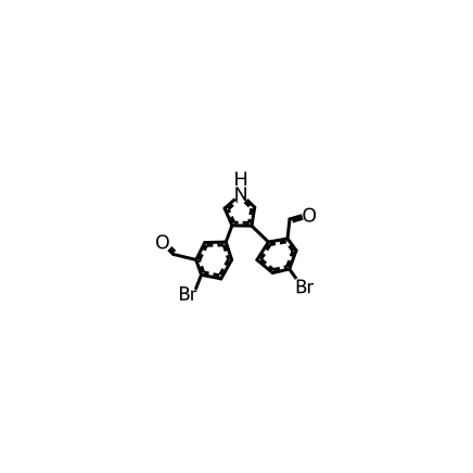 O=Cc1cc(-c2c[nH]cc2-c2ccc(Br)cc2C=O)ccc1Br